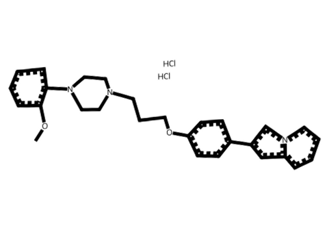 COc1ccccc1N1CCN(CCCOc2ccc(-c3cc4ccccn4c3)cc2)CC1.Cl.Cl